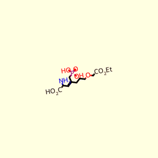 CCOC(=O)COCCCC(=CC(N)C(=O)O)CP(=O)(O)O